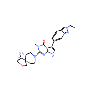 CCn1cc2ccc(-c3c[nH]c4nc(N5CCC6(CC5)COC[C@H]6N)n(C)c(=O)c34)cc2n1